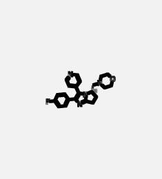 Fc1ccc(-c2nc3n(c2-c2ccncc2)[C@H](CN2CCOCC2)CC3)cc1